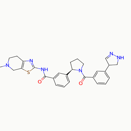 CN1CCc2nc(NC(=O)c3cccc([C@H]4CCCN4C(=O)c4cccc(C5C=NNC5)c4)c3)sc2C1